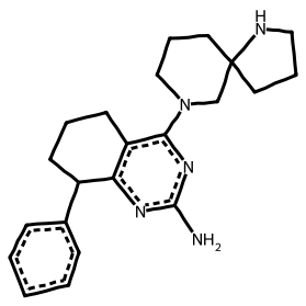 Nc1nc2c(c(N3CCCC4(CCCN4)C3)n1)CCCC2c1ccccc1